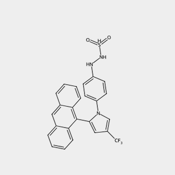 O=[SH](=O)NNc1ccc(-n2cc(C(F)(F)F)cc2-c2c3ccccc3cc3ccccc23)cc1